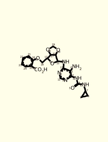 Nc1c(NC(=O)NC2CC2)ncnc1NC1OC(COc2ccccc2C(=O)O)C2OCOC12